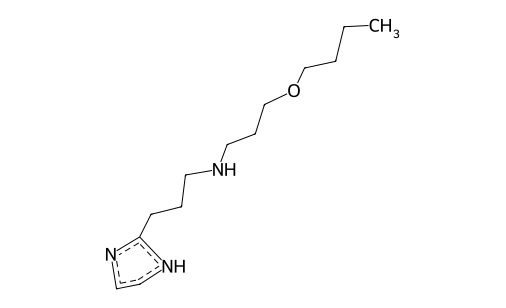 CCCCOCCCNCCCc1ncc[nH]1